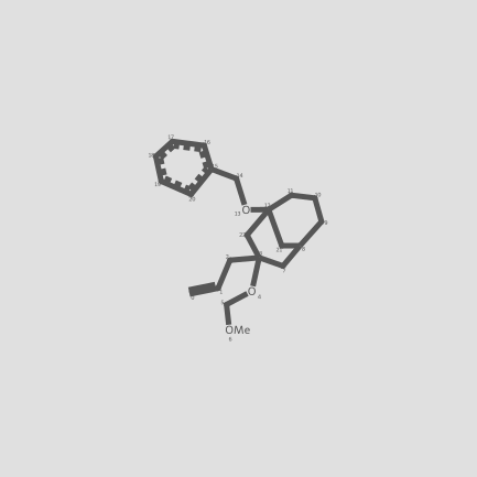 C=CCC1(OCOC)CC2CCCC(OCc3ccccc3)(C2)C1